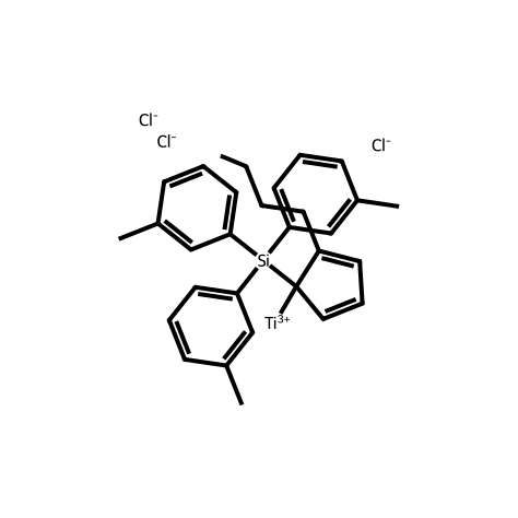 CCCCC1=CC=C[C]1([Ti+3])[Si](c1cccc(C)c1)(c1cccc(C)c1)c1cccc(C)c1.[Cl-].[Cl-].[Cl-]